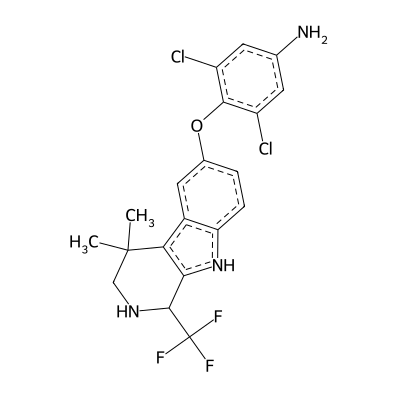 CC1(C)CNC(C(F)(F)F)c2[nH]c3ccc(Oc4c(Cl)cc(N)cc4Cl)cc3c21